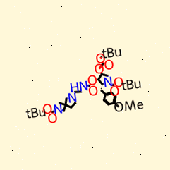 COc1ccc(C[C@@H]2[C@H](OC(=O)NCCN3CCC4(C3)CN(C(=O)OC(C)(C)C)C4)[C@@H](OC(=O)OC(C)(C)C)CN2C(=O)OC(C)(C)C)cc1